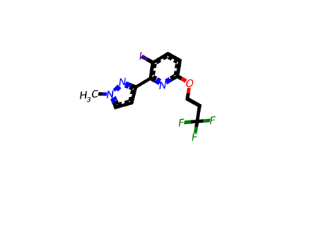 Cn1ccc(-c2nc(OCCC(F)(F)F)ccc2I)n1